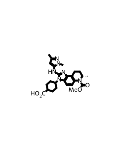 COC(=O)N1c2ccc3c(nc(Nc4cc(C)nn4C)n3C3CCC(C(=O)O)CC3)c2CC[C@@H]1C